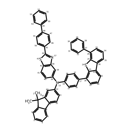 CC1(C)c2ccccc2-c2ccc(N(c3ccc(-c4cccc5c4sc4c(-c6ccccc6)cccc45)cc3)c3ccc4sc(-c5ccc(-c6ccccc6)cc5)nc4c3)cc21